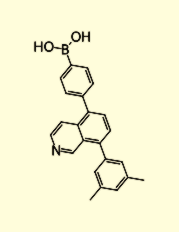 Cc1cc(C)cc(-c2ccc(-c3ccc(B(O)O)cc3)c3ccncc23)c1